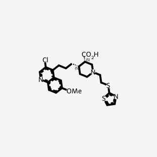 COc1ccc2ncc(Cl)c(CCC[C@H]3CCN(CCSc4nccs4)C[C@H]3C(=O)O)c2c1